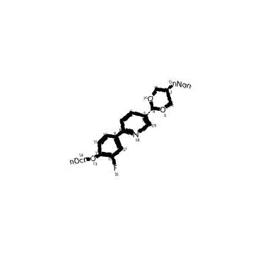 CCCCCCCCC[C@H]1CO[C@H](c2ccc(-c3ccc(OCCCCCCCC)c(F)c3)nc2)OC1